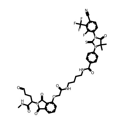 CNC(=O)C(CCC=O)N1C(=O)c2cccc(OCC(=O)NCCCCNC(=O)c3ccc(N4C(=S)N(c5ccc(C#N)c(C(F)(F)F)c5F)C(=O)C4(C)C)cc3)c2C1=O